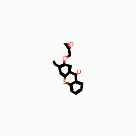 CCc1cc2sc3ccccc3c(=O)c2cc1OCC1CO1